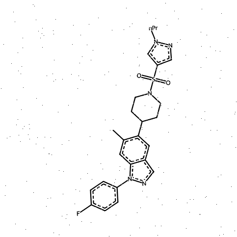 CCCn1cc(S(=O)(=O)N2CCC(c3cc4cnn(-c5ccc(F)cc5)c4cc3C)CC2)cn1